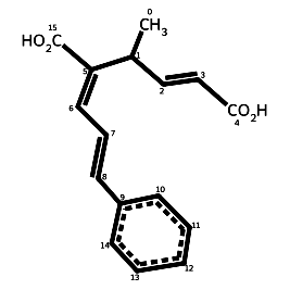 CC(C=CC(=O)O)C(=CC=Cc1ccccc1)C(=O)O